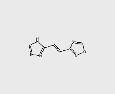 C(=Cc1nnc[nH]1)c1ncon1